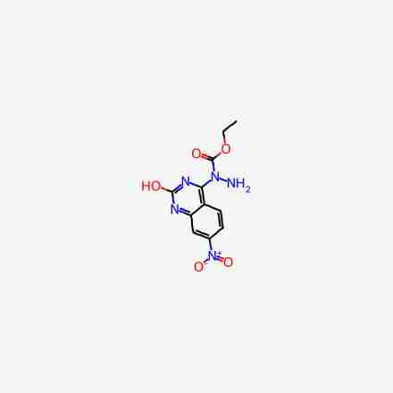 CCOC(=O)N(N)c1nc(O)nc2cc([N+](=O)[O-])ccc12